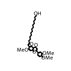 COc1ccc(-c2cc(=O)c3c(cc(OC)c4cc(CCCCCCCCCCCCCCO)oc43)o2)cc1OC